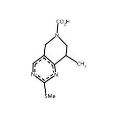 CSc1ncc2c(n1)C(C)CN(C(=O)O)C2